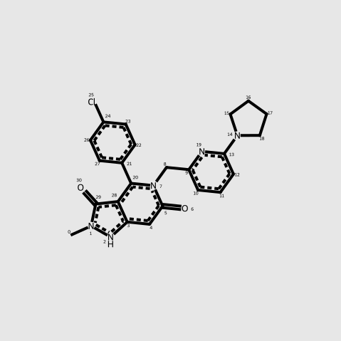 Cn1[nH]c2cc(=O)n(Cc3cccc(N4CCCC4)n3)c(-c3ccc(Cl)cc3)c2c1=O